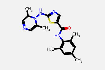 CC1=CN=CC(C)N1Nc1ncc(C(=O)Nc2c(C)cc(C)cc2C)s1